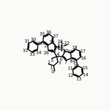 CC(C)CC1(C)C2=Cc3c(-c4ccccc4)cccc3[CH]2[Hf]([CH3])([CH3])[CH]2C1=Cc1c(-c3ccccc3)cccc12